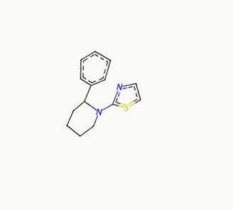 c1ccc(C2CCCCN2c2nccs2)cc1